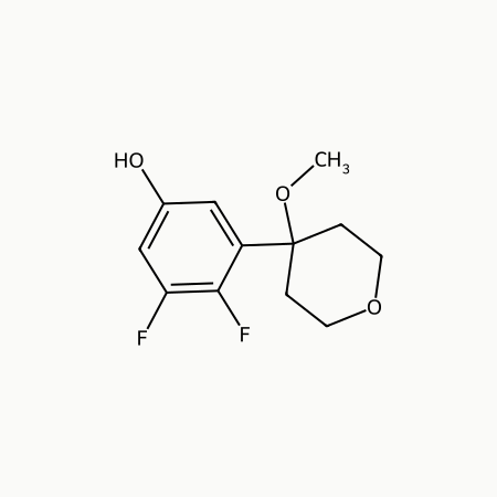 COC1(c2cc(O)cc(F)c2F)CCOCC1